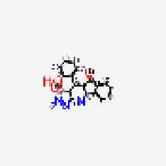 CN1N=C2N=C3c4ccccc4C(=O)C3C(c3ccccc3O)C2C1=O